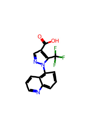 O=C(O)c1cnn(-c2cccc3ncccc23)c1C(F)(F)F